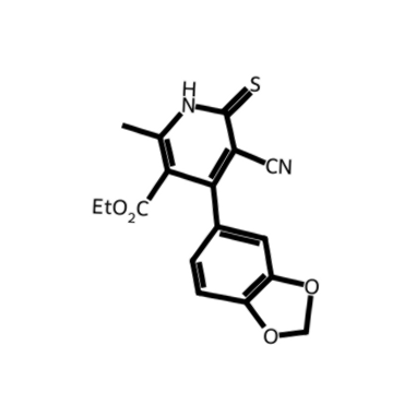 CCOC(=O)c1c(C)[nH]c(=S)c(C#N)c1-c1ccc2c(c1)OCO2